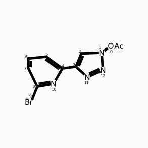 CC(=O)On1cc(-c2cccc(Br)n2)nn1